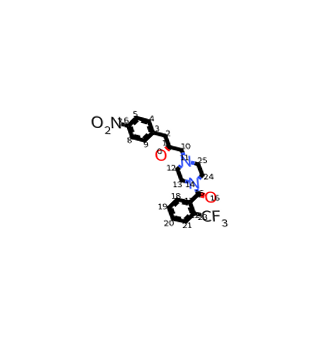 O=C(Cc1ccc([N+](=O)[O-])cc1)CN1CCN(C(=O)c2ccccc2C(F)(F)F)CC1